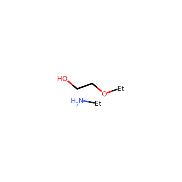 CCN.CCOCCO